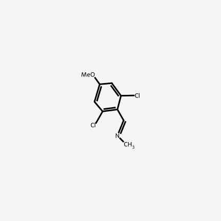 CN=Cc1c(Cl)cc(OC)cc1Cl